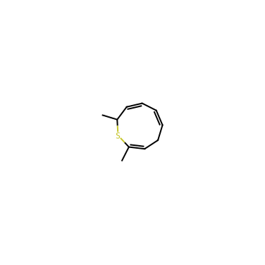 C/C1=C/C/C=C\C=C/C(C)S1